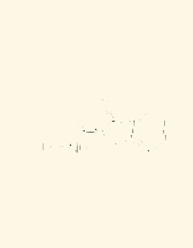 CCCCCCNC(=O)n1oc2ccccc2c1=O